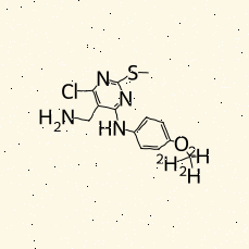 [2H]C([2H])([2H])Oc1ccc(Nc2nc(SC)nc(Cl)c2CN)cc1